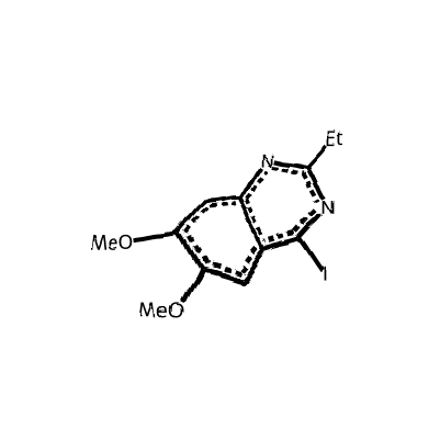 CCc1nc(I)c2cc(OC)c(OC)cc2n1